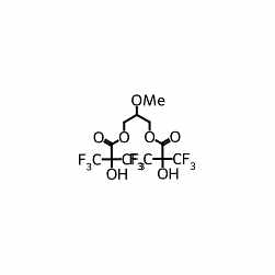 COC(COC(=O)C(O)(C(F)(F)F)C(F)(F)F)COC(=O)C(O)(C(F)(F)F)C(F)(F)F